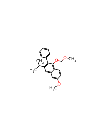 COCOc1c(-c2ccccc2)c(C(C)C)cc2cc(OC)ccc12